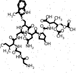 CC[C@H](C)[C@H](NC(=O)CNC(=O)CN)C(=O)NCC(=O)NC(CSc1[nH]c2ccccc2c1C)C(=O)NC(CC(N)=O)C(=O)N1CC(O)C[C@H]1C(=O)N[C@H](C(=O)O)[C@@H](C)[C@H](COC(C)=O)OC(C)=O